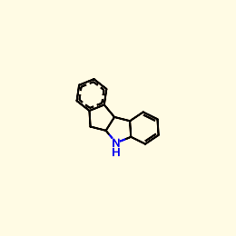 C1=CC2NC3Cc4ccccc4C3C2C=C1